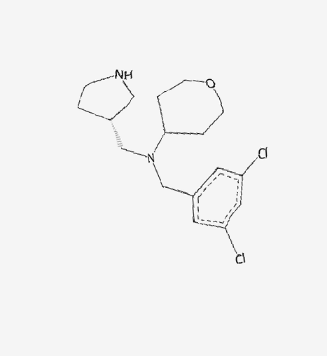 Clc1cc(Cl)cc(CN(C[C@@H]2CCNC2)C2CCOCC2)c1